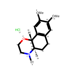 CCN1CCO[C@@H]2c3cc(OC)c(OC)cc3CC[C@H]21.Cl